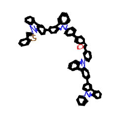 c1ccc(-n2c3ccccc3c3cc(-c4ccc5c(c4)c4ccccc4n5-c4cccc(-c5cc6ccc(-c7ccc(-n8c9ccccc9c9cc(-c%10ccc%11c(c%10)c%10ccccc%10n%11-c%10cc%11ccccc%11s%10)ccc98)cc7)cc6o5)c4)ccc32)cc1